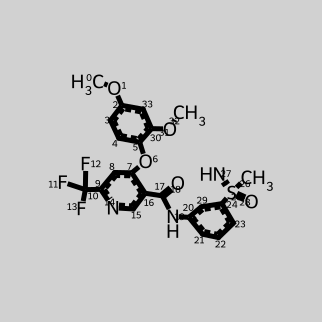 COc1ccc(Oc2cc(C(F)(F)F)ncc2C(=O)Nc2cccc(S(C)(=N)=O)c2)c(OC)c1